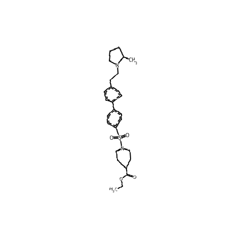 CCOC(=O)C1CCN(S(=O)(=O)c2ccc(-c3ccc(CCN4CCCC4C)cc3)cc2)CC1